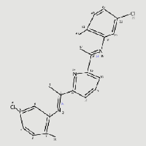 C/C(=N\c1cc(Cl)ccc1C)c1cccc(/C(C)=N/c2cc(Cl)ccc2C)n1